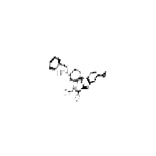 CCN(C(=O)c1cc2cc(C3CC3)ccc2[nH]1)[C@H]1CCC[C@@H](NCc2ccccc2)C1